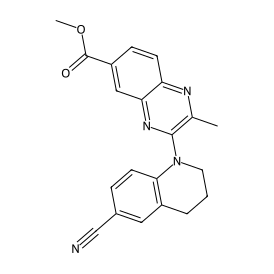 COC(=O)c1ccc2nc(C)c(N3CCCc4cc(C#N)ccc43)nc2c1